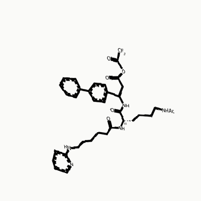 CC(=O)NCCCC[C@H](NC(=O)CCCCCNc1ccccn1)C(=O)NC(CC(=O)OC(=O)C(F)(F)F)c1ccc(-c2ccccc2)cc1